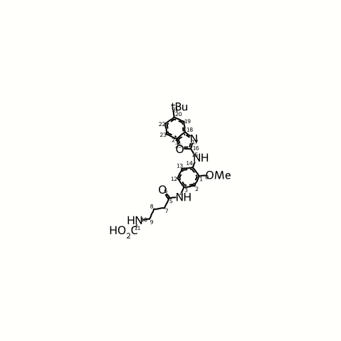 COc1cc(NC(=O)CCCNC(=O)O)ccc1Nc1nc2cc(C(C)(C)C)ccc2o1